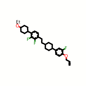 C=CCOc1ccc(C2CCC(CCc3ccc(C4CCC(OCC)CC4)c(F)c3F)CC2)cc1F